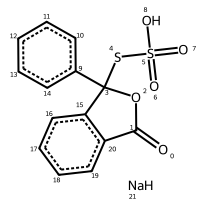 O=C1OC(SS(=O)(=O)O)(c2ccccc2)c2ccccc21.[NaH]